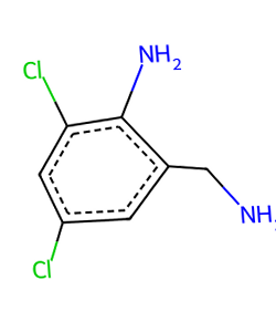 NCc1cc(Cl)cc(Cl)c1N